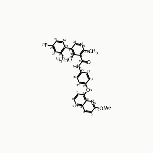 COc1ccc2nccc(Oc3ccc(NC(=O)c4c(C)ncc(-c5ccc(F)cc5C)c4O)cc3)c2n1